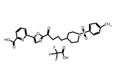 Cc1ccc(S(=O)(=O)N2CCC(CCCC(=O)c3ncc(-c4cccc(C(=O)O)n4)o3)CC2)cc1.O=C(O)C(F)(F)F